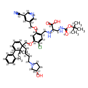 CC(C)(C)OC(=O)NCC(NCc1cc(Cl)c(OCC2(CCCCN3CC[C@@H](O)C3)C=CC=C(c3ccccc3)C2(C)C)cc1OCc1cncc(C#N)c1)C(=O)O